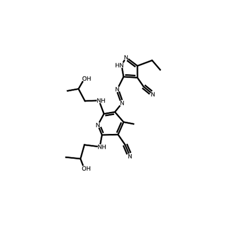 CCc1n[nH]c(N=Nc2c(NCC(C)O)nc(NCC(C)O)c(C#N)c2C)c1C#N